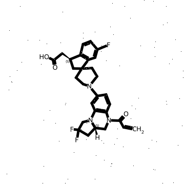 C=CC(=O)N1C[C@@H]2CC(F)(F)CN2c2cc(N3CCC4(CC3)C[C@@H](CC(=O)O)c3ccc(F)cc34)ccc21